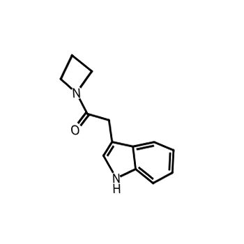 O=C(Cc1c[nH]c2ccccc12)N1CCC1